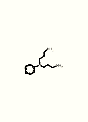 NCCCN(CCCN)c1ccccc1